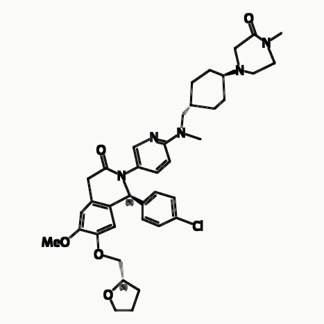 COc1cc2c(cc1OC[C@@H]1CCCO1)[C@H](c1ccc(Cl)cc1)N(c1ccc(N(C)C[C@H]3CC[C@H](N4CCN(C)C(=O)C4)CC3)nc1)C(=O)C2